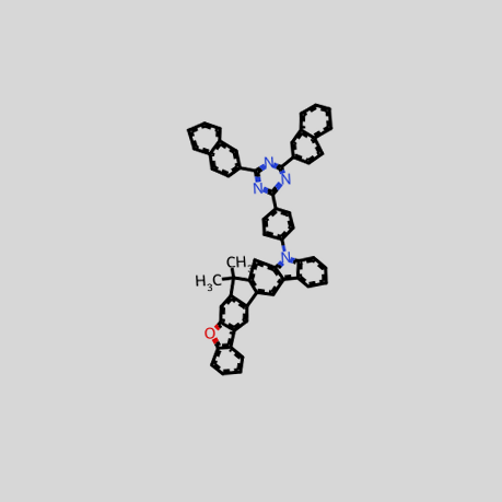 CC1(C)c2cc3oc4ccccc4c3cc2-c2cc3c4ccccc4n(-c4ccc(-c5nc(-c6ccc7ccccc7c6)nc(-c6ccc7ccccc7c6)n5)cc4)c3cc21